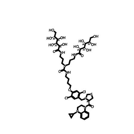 O=C(NCCCN(CCCNC(=O)[C@H](O)[C@@H](O)[C@H](O)[C@H](O)CO)C(=O)NCCCCOc1cc(Cl)c(CN2CSC[C@H]2C(=O)N2CCN(C3CC3)c3ccccc32)cc1Cl)[C@H](O)[C@@H](O)[C@H](O)[C@H](O)CO